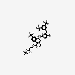 CC[C@@H]1C[C@H](Nc2ncc(Br)c(Cc3cc(C(F)(F)F)cc(C(F)(F)F)c3)n2)c2cc(C(F)(F)F)ccc2N1C(=O)OCCC(=O)OC(C)(C)C